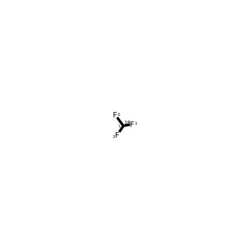 FC(F)[18F]